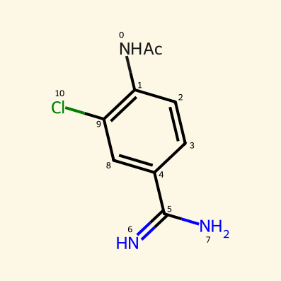 CC(=O)Nc1ccc(C(=N)N)cc1Cl